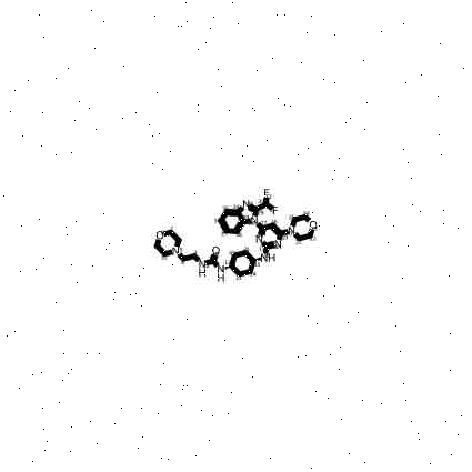 O=C(NCCN1CCOCC1)N[C@H]1CC[C@H](Nc2nc(N3CCOCC3)cc(-n3c(C(F)F)nc4ccccc43)n2)CC1